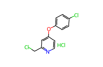 Cl.ClCc1cc(Oc2ccc(Cl)cc2)ccn1